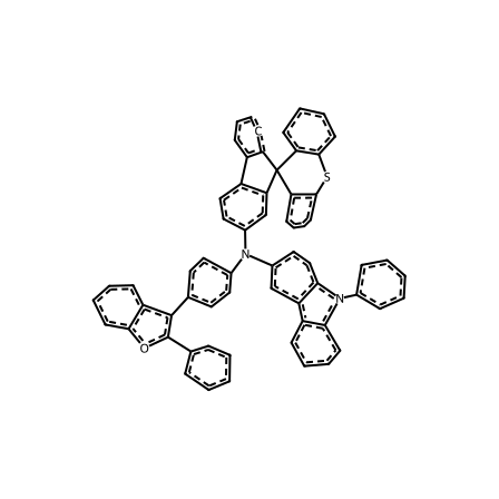 c1ccc(-c2oc3ccccc3c2-c2ccc(N(c3ccc4c(c3)C3(c5ccccc5Sc5ccccc53)c3ccccc3-4)c3ccc4c(c3)c3ccccc3n4-c3ccccc3)cc2)cc1